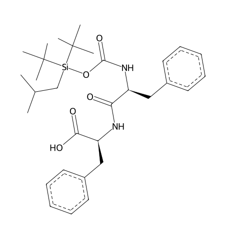 CC(C)C[Si](OC(=O)N[C@@H](Cc1ccccc1)C(=O)N[C@@H](Cc1ccccc1)C(=O)O)(C(C)(C)C)C(C)(C)C